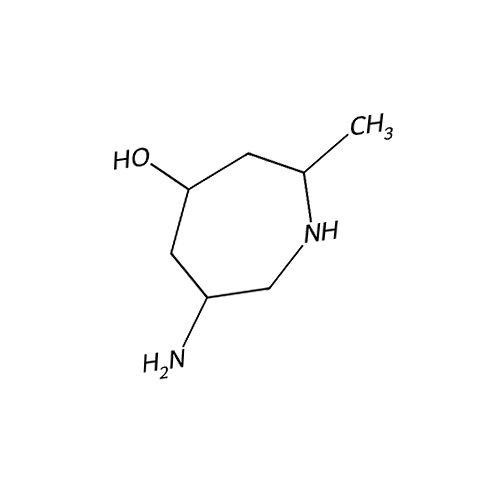 CC1CC(O)CC(N)CN1